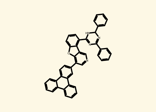 c1ccc(C2=NC(c3ccccc3)NC(c3cccc4oc5c(-c6ccc7c8ccccc8c8ccccc8c7c6)cncc5c34)=N2)cc1